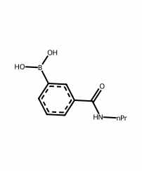 CCCNC(=O)c1cccc(B(O)O)c1